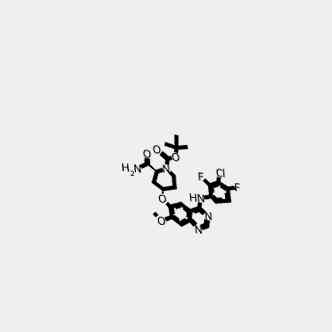 COc1cc2ncnc(Nc3ccc(F)c(Cl)c3F)c2cc1O[C@H]1CCN(C(=O)OC(C)(C)C)[C@H](C(N)=O)C1